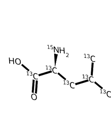 [13CH3][13CH]([13CH3])[13CH2][13C@H]([15NH2])[13C](=O)O